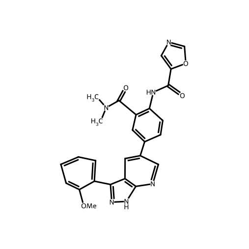 COc1ccccc1-c1n[nH]c2ncc(-c3ccc(NC(=O)c4cnco4)c(C(=O)N(C)C)c3)cc12